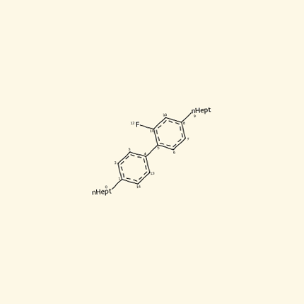 CCCCCCCc1ccc(-c2ccc(CCCCCCC)cc2F)cc1